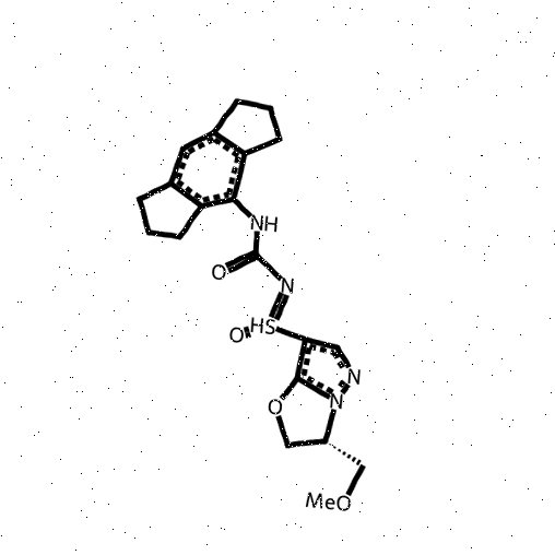 COC[C@@H]1COc2c([SH](=O)=NC(=O)Nc3c4c(cc5c3CCC5)CCC4)cnn21